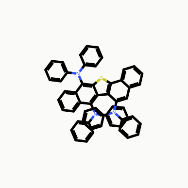 c1ccc(N(c2ccccc2)c2c3ccccc3c(N(c3ccccc3)c3ccccc3)c3c2sc2c4ccccc4cc(N(c4ccccc4)c4ccccc4)c23)cc1